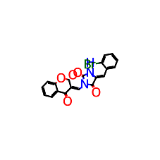 O=C1Oc2ccccc2C(=O)/C1=C/N1C(=O)N/C(=C\c2ccccc2Br)C1=O